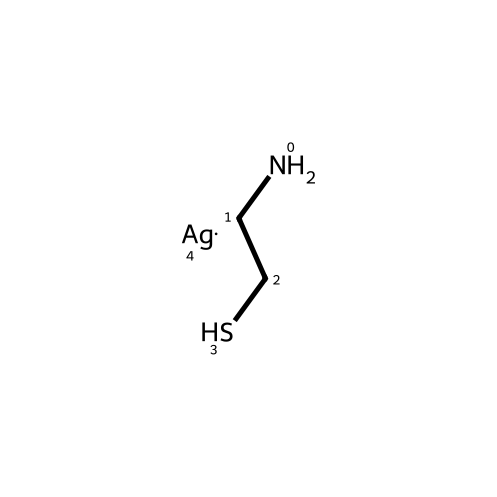 NCCS.[Ag]